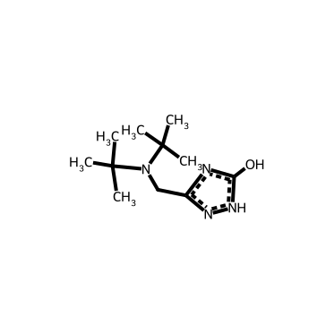 CC(C)(C)N(Cc1n[nH]c(O)n1)C(C)(C)C